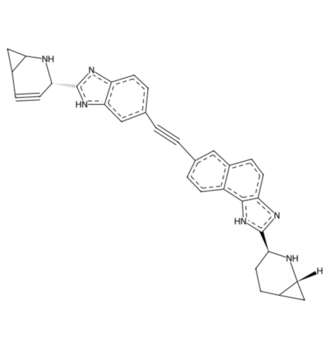 C(#Cc1ccc2nc([C@@H]3C#CC4CC4N3)[nH]c2c1)c1ccc2c(ccc3nc([C@@H]4CCC5C[C@H]5N4)[nH]c32)c1